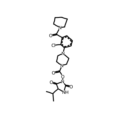 CC(C)C1NC(=O)N(OC(=O)N2CCN(c3cccc(C(=O)N4CCCCC4)c3Cl)CC2)C1=O